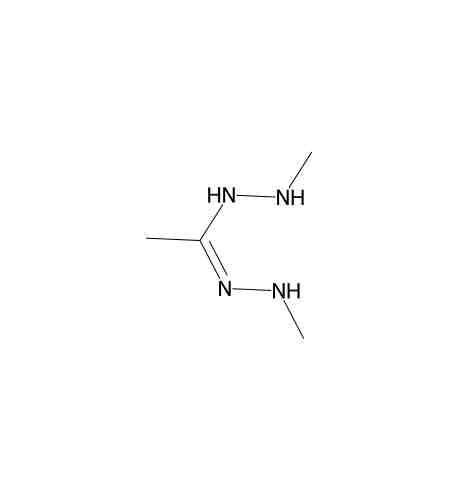 CN/N=C(/C)NNC